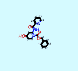 O=C(NC1CC(O)CCN1C(=O)OCc1ccccc1)c1ccccn1